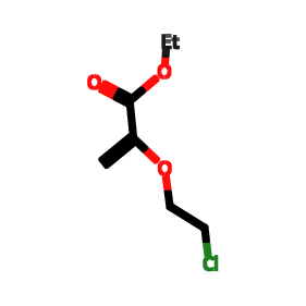 C=C(OCCCl)C(=O)OCC